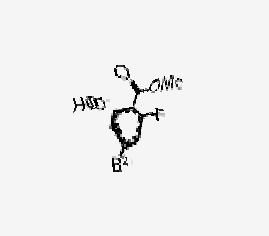 [B+2]c1ccc(C(=O)OC)c(F)c1.[OH-].[OH-]